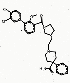 COc1c(C(=O)N2CCC(CCN3CCC(C(N)=O)(c4ccccc4)CC3)C2)cccc1-c1ccc(Cl)c(Cl)c1